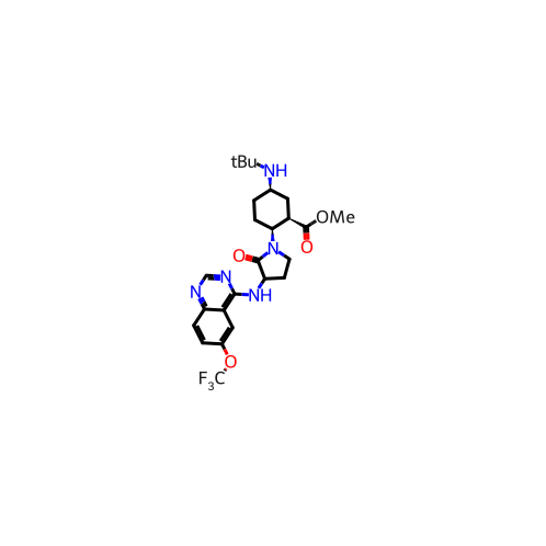 COC(=O)[C@@H]1C[C@H](NC(C)(C)C)CC[C@@H]1N1CCC(Nc2ncnc3ccc(OC(F)(F)F)cc23)C1=O